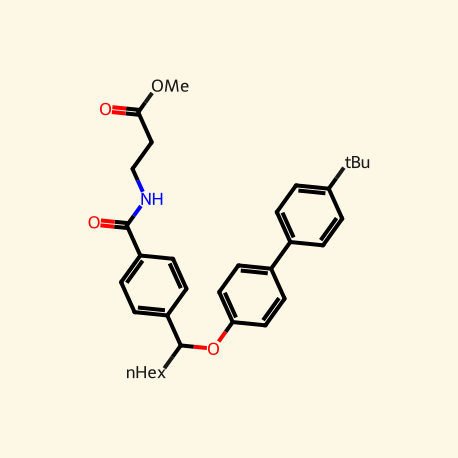 CCCCCCC(Oc1ccc(-c2ccc(C(C)(C)C)cc2)cc1)c1ccc(C(=O)NCCC(=O)OC)cc1